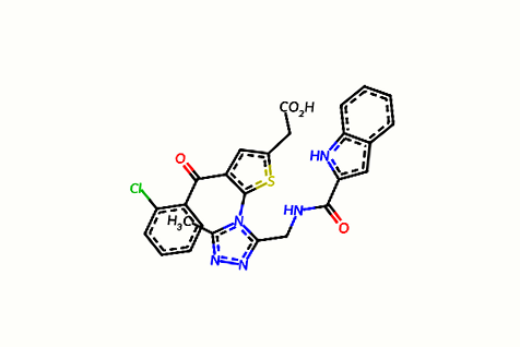 Cc1nnc(CNC(=O)c2cc3ccccc3[nH]2)n1-c1sc(CC(=O)O)cc1C(=O)c1ccccc1Cl